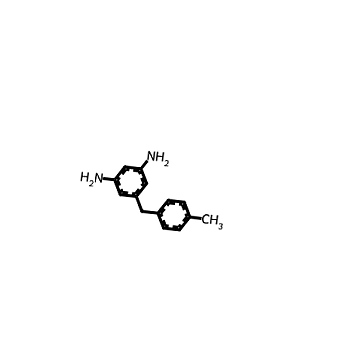 Cc1ccc(Cc2cc(N)cc(N)c2)cc1